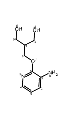 Nc1cccnc1OCC(CO)CO